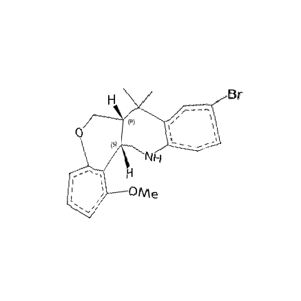 COc1cccc2c1[C@H]1Nc3ccc(Br)cc3C(C)(C)[C@H]1CO2